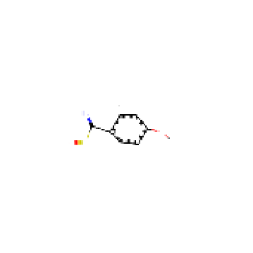 COc1ccc(C(=N)[S+]=O)cc1.[Ar]